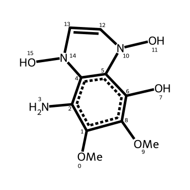 COc1c(N)c2c(c(O)c1OC)N(O)C=CN2O